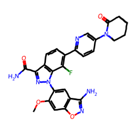 COc1cc2onc(N)c2cc1-n1nc(C(N)=O)c2ccc(-c3ccc(N4CCCCC4=O)cn3)c(F)c21